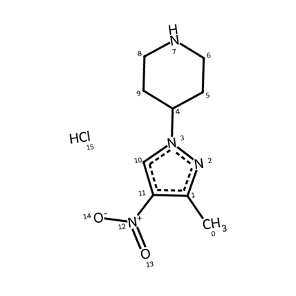 Cc1nn(C2CCNCC2)cc1[N+](=O)[O-].Cl